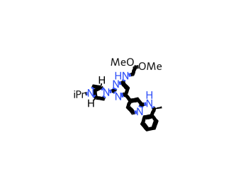 COC(CNc1cc(-c2ccnc(N[C@@H](C)c3ccccc3)c2)nc(N2C[C@@H]3C[C@H]2CN3C(C)C)n1)OC